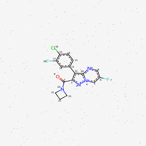 O=C(c1nn2cc(F)cnc2c1-c1ccc(Cl)c(F)c1)N1CCC1